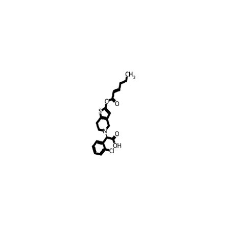 CCC/C=C/C(=O)Oc1cc2c(s1)CCN([C@H](C(=O)O)c1ccccc1Cl)C2